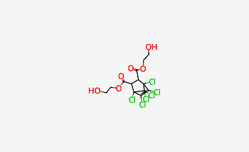 O=C(OCCO)C1C(C(=O)OCCO)C2(Cl)C(Cl)=C(Cl)C1(Cl)C2(Cl)Cl